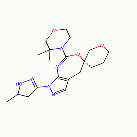 CC1CC(n2ncc3c2N=C(N2CCOCC2(C)C)O[C@]2(CCCOC2)C3)=NN1